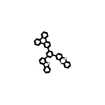 c1ccc2c(c1)Oc1ccc(-c3cc(-c4ccc5c6ccccc6c6ccccc6c5c4)cc(-c4cccc5c4oc4ccccc45)c3)cc1S2